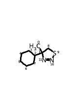 CC1(C2C[CH]CCC2)CSN=N1